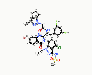 CCS(=O)(=O)Nc1nn(CC(F)(F)F)c2c(-n3c([C@H](Cc4cc(F)cc(F)c4)NC(=O)Cn4nc(C(F)(F)F)c5c4CCC5)nc4cc(Br)ccc4c3=O)ccc(Cl)c12